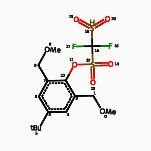 COCc1cc(C(C)(C)C)cc(COC)c1OS(=O)(=O)C(F)(F)[SH](=O)=O